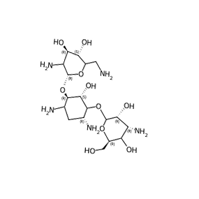 NCC1O[C@H](O[C@@H]2C(N)C[C@@H](N)C(OC3O[C@H](CO)C(O)[C@@H](N)[C@H]3O)[C@H]2O)C(N)[C@@H](O)[C@@H]1O